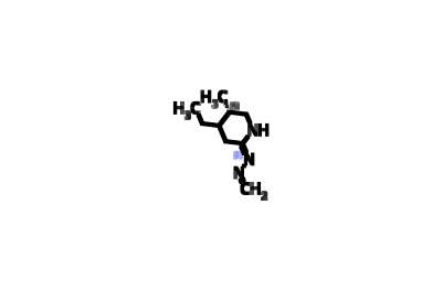 C=N/N=C1\CC(CC)[C@H](C)CN1